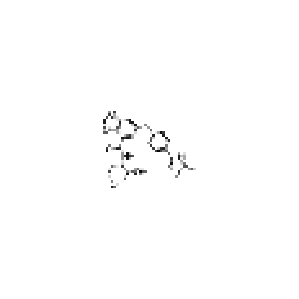 Cc1nc(-c2ccc(Cc3cc4c(c(C(=O)N[C@H]5CCOC[C@@H]5O)c3)OCO4)cc2)co1